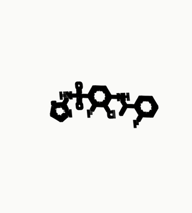 CC(Nc1ccc(S(=O)(=O)Nc2nccs2)c(F)c1Cl)c1ccccc1F